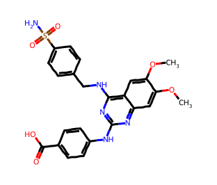 COc1cc2nc(Nc3ccc(C(=O)O)cc3)nc(NCc3ccc(S(N)(=O)=O)cc3)c2cc1OC